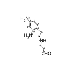 Nc1ccc(CCNCCC=O)c(N)c1